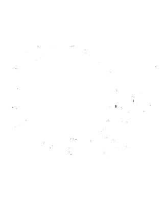 CO[C@]12C[C@@H](O)C[C@@H](O)[C@H](O)CC[C@@H](O)C[C@@H](O)CC(=O)O[C@@H](C)C[C@H](O)[C@@H](C)/C=C/C=C/C=C/C=C/C=C/C=C/C=C/[C@H](O[C@@H]3OC[C@@H](O)[C@H](NC(=O)OCC[Si](C)(C)C)[C@@H]3O)C[C@H](O1)[C@H](NC(=O)NCCCF)[C@@H](O)C2